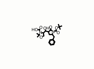 CC(C)(C)OC(=O)N1C(=O)C(C(O)C2COC(C)(C)N2C(=O)O)CC1Cc1ccccc1